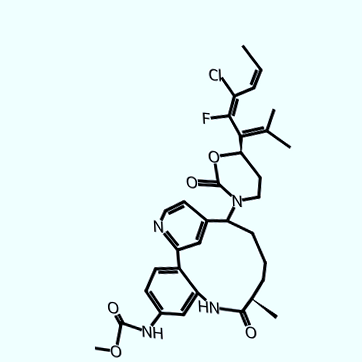 C/C=C\C(Cl)=C(\F)C(=C(C)C)[C@H]1CCN(C2CCC[C@@H](C)C(=O)Nc3cc(NC(=O)OC)ccc3-c3cc2ccn3)C(=O)O1